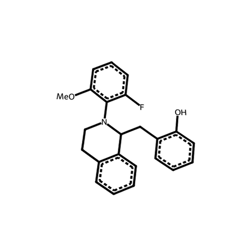 COc1cccc(F)c1N1CCc2ccccc2C1Cc1ccccc1O